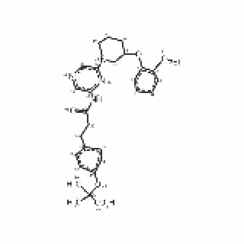 CCOc1ccccc1OC1CCCN(c2cncc(NC(=O)CCc3ccc(OC(C)(C)C(=O)O)cc3)n2)C1